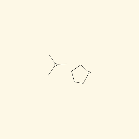 C1CCOC1.CN(C)C